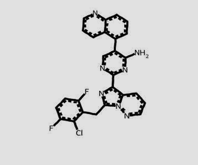 Nc1nc(-c2nc(Cc3c(F)ccc(F)c3Cl)n3ncccc23)ncc1-c1cccc2ncccc12